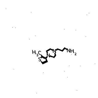 Cc1sccc1N1CCN(CCCN)CC1